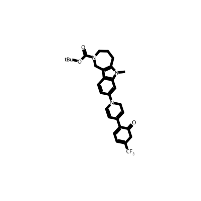 Cn1c2c(c3ccc(N4C=CC(C5=CC=C(C(F)(F)F)CC5=O)=CC4)cc31)CN(C(=O)OC(C)(C)C)CCC2